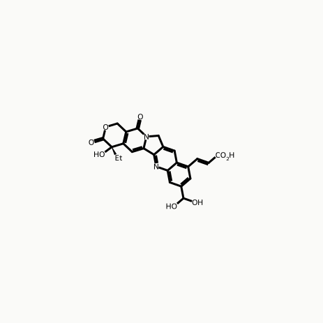 CC[C@@]1(O)C(=O)OCc2c1cc1n(c2=O)Cc2cc3c(C=CC(=O)O)cc(C(O)O)cc3nc2-1